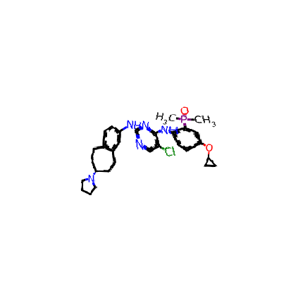 CP(C)(=O)c1cc(OC2CC2)ccc1Nc1nc(Nc2ccc3c(c2)CC[C@@H](N2CCCC2)CC3)ncc1Cl